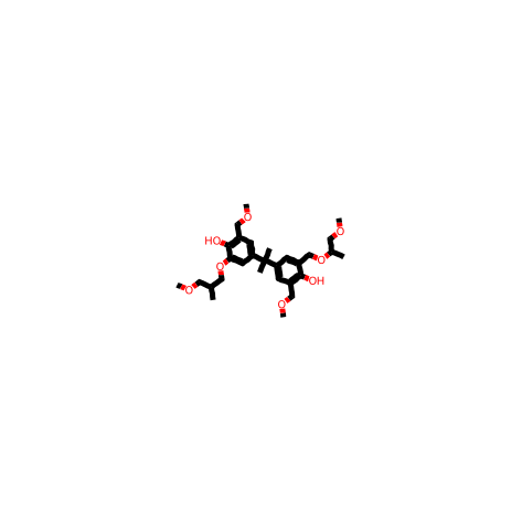 COCc1cc(C(C)(C)c2cc(COC)c(O)c(OCC(C)COC)c2)cc(COC(C)COC)c1O